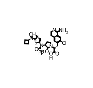 CN(c1ncc(N([C@H]2CCN([C@H](Cc3cc4ccnc(N)c4cc3Cl)C(=O)O)C2=O)[SH](=O)=O)s1)C1CCC1